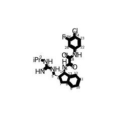 CC(C)NC(=N)NC[C@H]1Cc2ccccc2[C@@H]1NC(=O)C(=O)Nc1ccc(Cl)c(F)c1